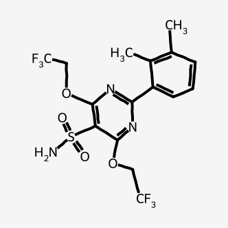 Cc1cccc(-c2nc(OCC(F)(F)F)c(S(N)(=O)=O)c(OCC(F)(F)F)n2)c1C